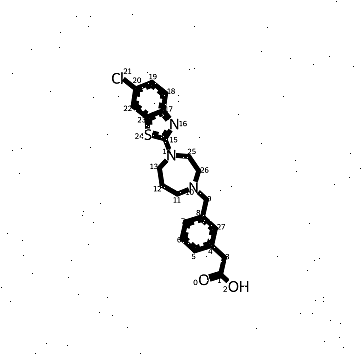 O=C(O)Cc1cccc(CN2CCCN(c3nc4ccc(Cl)cc4s3)CC2)c1